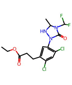 CCOC(=O)CCc1cc(N2NC(C)N(C(F)F)C2=O)c(Cl)cc1Cl